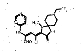 CN1/C(=C(Cl)\C=C(/C=O)Nc2ccncn2)C(=O)NC12CCN(CC(F)(F)F)CC2